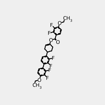 CCOc1ccc(C(=O)OC2=CCC(c3ccc(-c4ccc(OCC)c(F)c4F)c(F)c3F)CC2)c(F)c1F